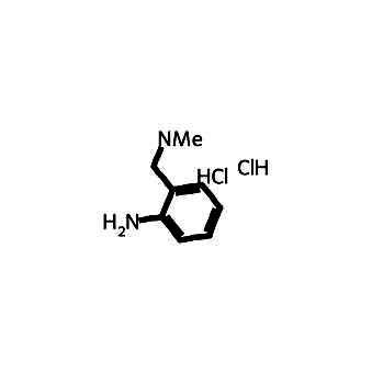 CNCc1ccccc1N.Cl.Cl